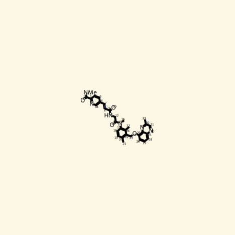 CNC(=O)c1ccc(/C=C/C(=O)NCC(=O)N(C)c2ccc(C)c(COc3cccc4ncc(C)nc34)c2C)cn1